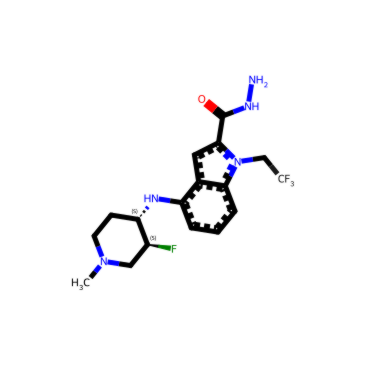 CN1CC[C@H](Nc2cccc3c2cc(C(=O)NN)n3CC(F)(F)F)[C@@H](F)C1